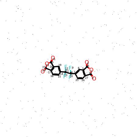 O=C1OC(=O)c2cc(C(F)(F)C(F)(F)c3ccc4c(c3)C(=O)OC4=O)ccc21